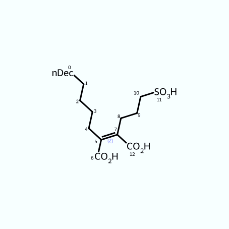 CCCCCCCCCCCCCC/C(C(=O)O)=C(\CCCS(=O)(=O)O)C(=O)O